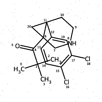 CC(C)(C)C(=O)C12CNCCC1(c1ccc(Cl)c(Cl)c1)C2